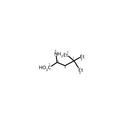 CCC(CC)(CC)CC(N)C(=O)O